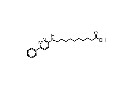 O=C(O)CCCCCCCCCNc1ccc(-c2ccccc2)nn1